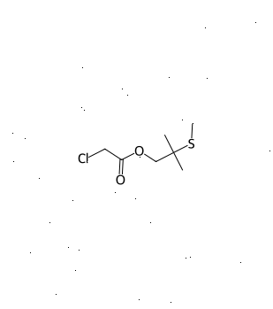 CSC(C)(C)COC(=O)CCl